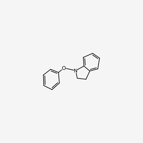 c1ccc(ON2CCc3ccccc32)cc1